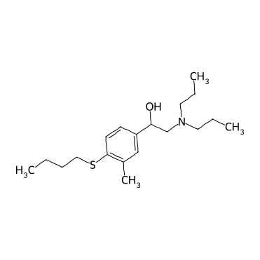 CCCCSc1ccc(C(O)CN(CCC)CCC)cc1C